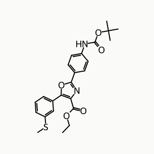 CCOC(=O)c1nc(-c2ccc(NC(=O)OC(C)(C)C)cc2)oc1-c1cccc(SC)c1